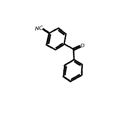 N#Cc1ccc(C(=O)c2[c]cccc2)cc1